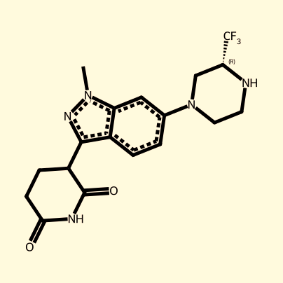 Cn1nc(C2CCC(=O)NC2=O)c2ccc(N3CCN[C@@H](C(F)(F)F)C3)cc21